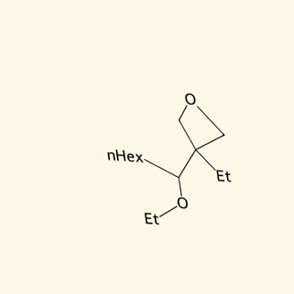 CCCCCCC(OCC)C1(CC)COC1